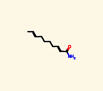 C/C=C/CCCC/C=C/C(N)=O